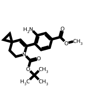 COC(=O)c1ccc(C2=CC3(CCN2C(=O)OC(C)(C)C)CC3)c(N)c1